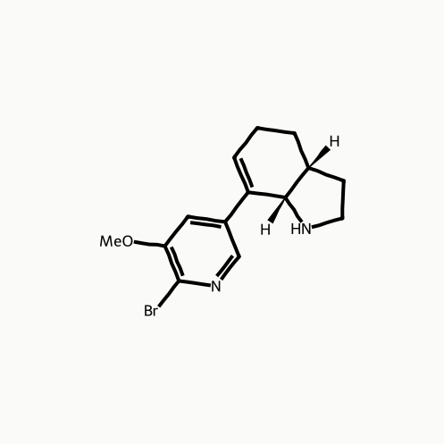 COc1cc(C2=CCC[C@@H]3CCN[C@H]23)cnc1Br